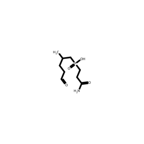 CC(CCC=O)CP(=O)(O)CCC(N)=O